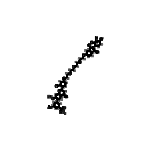 CCOc1cc2oc(-c3ccc(OCCOCCOCCOCCOc4ccc5c(c4)C(=O)N(C4CCC(=O)NC4=O)C5=O)cc3Cl)cc(=O)c2cc1-c1cc(C(C)=O)cc(C(N)=O)c1